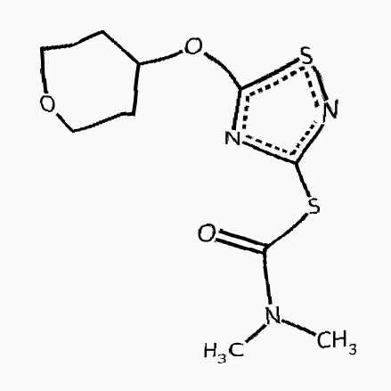 CN(C)C(=O)Sc1nsc(OC2CCOCC2)n1